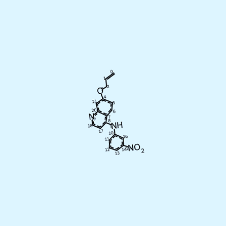 C=CCOc1ccc2c(Nc3cccc([N+](=O)[O-])c3)ccnc2c1